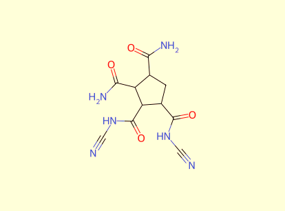 N#CNC(=O)C1CC(C(N)=O)C(C(N)=O)C1C(=O)NC#N